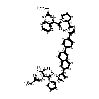 COC(=O)NC(C(=O)N1CCCC1c1ncc(-c2ccc(-c3ccc4cc(-c5cnc([C@@H]6CCCN6C(=O)[C@@H](NC(=O)OC)C(C)C)[nH]5)ccc4c3)cc2)[nH]1)c1cnccn1